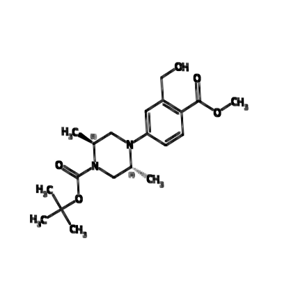 COC(=O)c1ccc(N2C[C@H](C)N(C(=O)OC(C)(C)C)C[C@H]2C)cc1CO